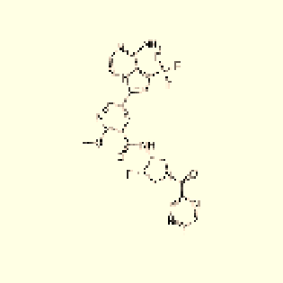 COc1ncc(-c2cc(C(F)(F)F)c3c(N)ncnn23)cc1C(=O)N[C@@H]1CN(C(=O)c2cnc(C)cn2)C[C@@H]1F